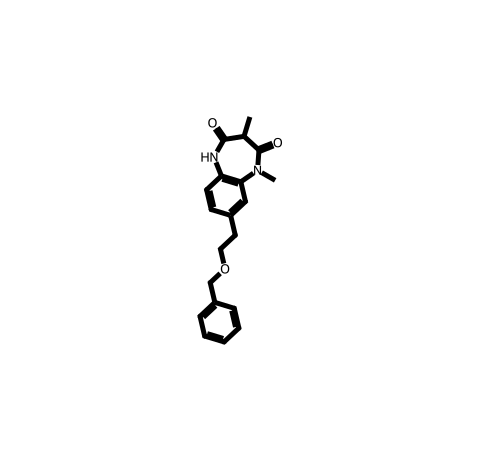 CC1C(=O)Nc2ccc(CCOCc3ccccc3)cc2N(C)C1=O